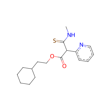 CNC(=S)C(C(=O)OCCC1CCCCC1)c1ccccn1